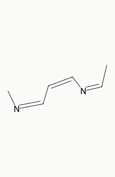 C\C=N/C=C\C=N/C